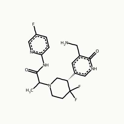 CC(C(=O)Nc1ccc(F)cn1)N1CCC(F)(F)[C@@H](c2c[nH]c(=O)c(CN)c2)C1